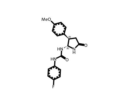 COc1ccc([C@H]2CC(=O)N[C@@H]2NC(=O)Nc2ccc(F)cc2)cc1